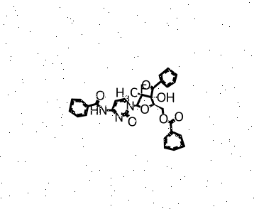 C[C@]1(F)[C@H](n2ccc(NC(=O)c3ccccc3)nc2=O)O[C@H](COC(=O)c2ccccc2)[C@]1(O)C(=O)c1ccccc1